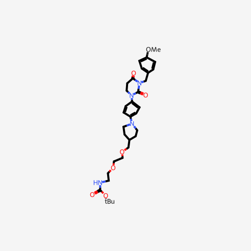 COc1ccc(CN2C(=O)CCN(c3ccc(N4CCC(COCCOCCNC(=O)OC(C)(C)C)CC4)cc3)C2=O)cc1